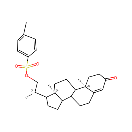 Cc1ccc(S(=O)(=O)OC[C@@H](C)C2CCC3C4CCC5=CC(=O)CC[C@]5(C)C4CC[C@@]32C)cc1